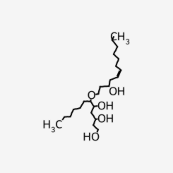 CCCCCC/C=C\CC(O)CCOC(CCCCCC)C(O)CC(O)CCO